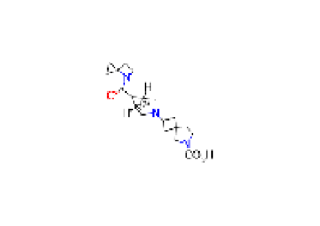 O=C(O)N1CCC2(CC(N3C[C@@H]4C(C(=O)N5CCC56CC6)[C@@H]4C3)C2)C1